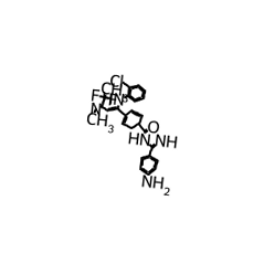 C/N=C(\C=C(/Nc1ccccc1Cl)C1=CCC(C(=O)NC(=N)c2ccc(N)cc2)C=C1)C(C)(F)F